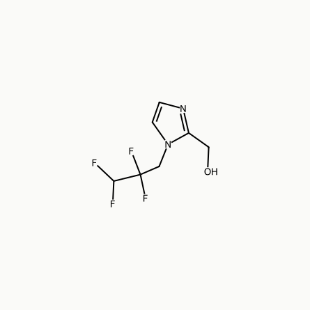 OCc1nccn1CC(F)(F)C(F)F